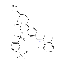 C/C(=C\c1ccc2c(c1)N(S(=O)(=O)c1cccc(C(F)(F)F)c1)C[C@@H]1CN(C3COC3)CCN21)c1c(F)cccc1Cl